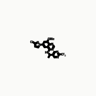 COc1cc(-n2ccc(Cl)n2)cc2c(NC(C)c3cnc(C(F)(F)F)nc3)ncnc12